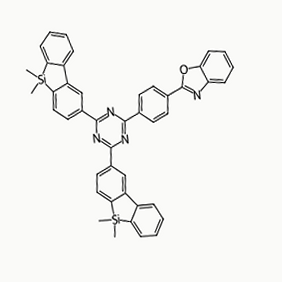 C[Si]1(C)c2ccccc2-c2cc(-c3nc(-c4ccc(-c5nc6ccccc6o5)cc4)nc(-c4ccc5c(c4)-c4ccccc4[Si]5(C)C)n3)ccc21